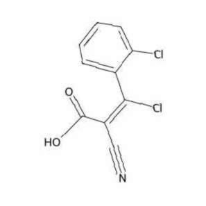 N#CC(C(=O)O)=C(Cl)c1ccccc1Cl